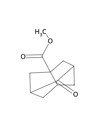 COC(=O)C12CC3CC1CC(C2)C3=O